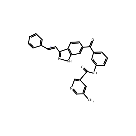 Cc1cncc(C(=O)Nc2cccc(C(=O)c3ccc4c(/C=C/c5ccccc5)n[nH]c4c3)c2)c1